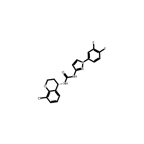 O=C(Nc1ccn(-c2ccc(F)c(F)c2)n1)N[C@H]1CCOc2c(Cl)cccc21